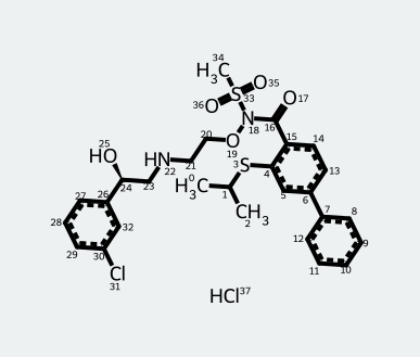 CC(C)Sc1cc(-c2ccccc2)ccc1C(=O)N(OCCNC[C@H](O)c1cccc(Cl)c1)S(C)(=O)=O.Cl